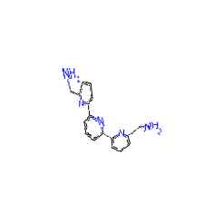 NCc1cccc(-c2cccc(-c3cccc(CN)n3)n2)n1